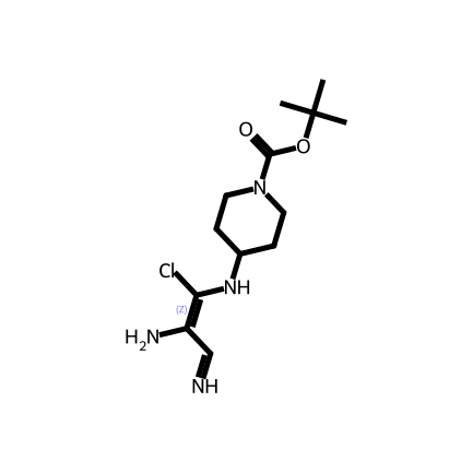 CC(C)(C)OC(=O)N1CCC(N/C(Cl)=C(/N)C=N)CC1